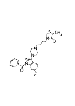 CC1SCN(CCCCN2CCN(c3nn(C(=O)c4ccccc4)c4cc(F)ccc34)CC2)C1=O